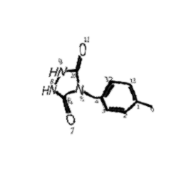 Cc1ccc(-n2c(=O)[nH][nH]c2=O)cc1